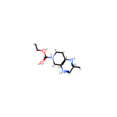 CCOC(=O)N1CCc2nc(C)cnc2C1